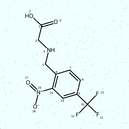 O=C(O)CNCc1ccc(C(F)(F)F)cc1[N+](=O)[O-]